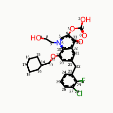 O=C(O)Oc1cn(CCO)c2c(OCC3CCCCC3)cc(Cc3cccc(Cl)c3F)cc2c1=O